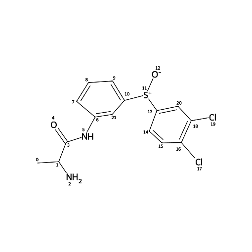 CC(N)C(=O)Nc1cccc([S+]([O-])c2ccc(Cl)c(Cl)c2)c1